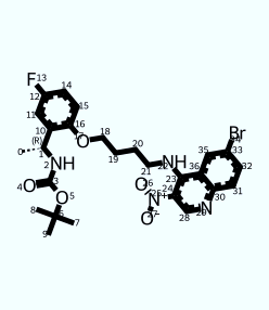 C[C@@H](NC(=O)OC(C)(C)C)c1cc(F)ccc1OCCCCNc1c([N+](=O)[O-])cnc2ccc(Br)cc12